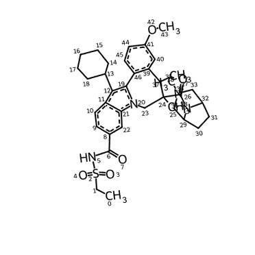 CCS(=O)(=O)NC(=O)c1ccc2c(C3CCCCC3)c3n(c2c1)CC(C)(C(=O)N1C2CCC1CN(C)C2)C(C)c1cc(OC)ccc1-3